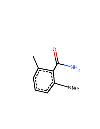 CNc1cccc(C)c1C(N)=O